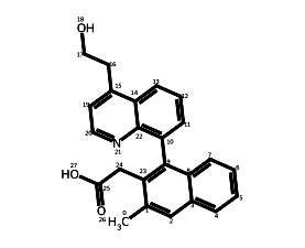 Cc1cc2ccccc2c(-c2cccc3c(CCO)ccnc23)c1CC(=O)O